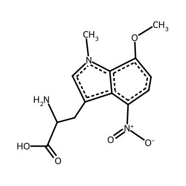 COc1ccc([N+](=O)[O-])c2c(CC(N)C(=O)O)cn(C)c12